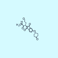 CNC(=O)C(CCC=O)N1C(=O)c2ccc(OC3CCC(=O)CC3)cc2C1=O